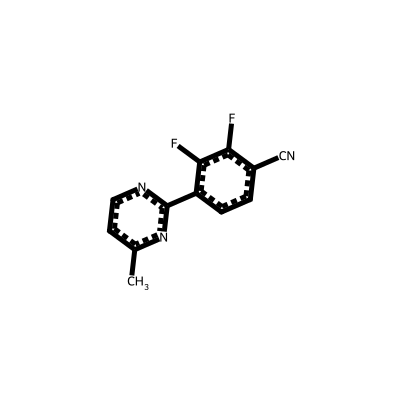 Cc1ccnc(-c2ccc(C#N)c(F)c2F)n1